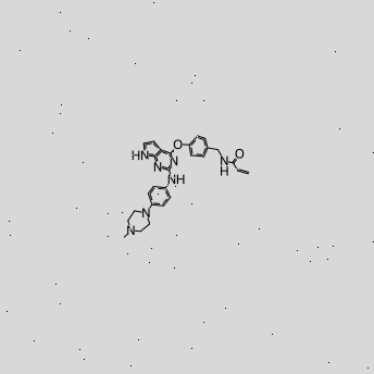 C=CC(=O)NCc1ccc(Oc2nc(Nc3ccc(N4CCN(C)CC4)cc3)nc3[nH]ccc23)cc1